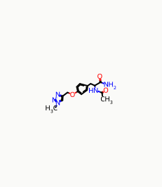 CC(=O)NC(Cc1ccc(OCc2cn(C)nn2)cc1)C(N)=O